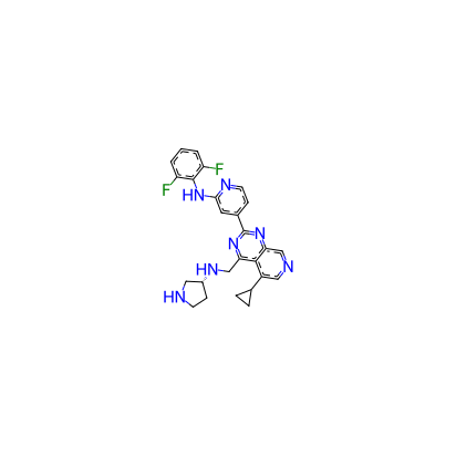 Fc1cccc(F)c1Nc1cc(-c2nc(CN[C@@H]3CCNC3)c3c(C4CC4)cncc3n2)ccn1